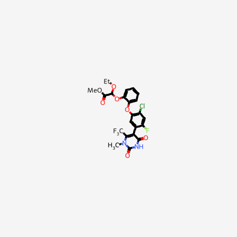 CCOC(Oc1ccccc1Oc1cc(-c2c(C(F)(F)F)n(C)c(=O)[nH]c2=O)c(F)cc1Cl)C(=O)OC